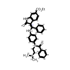 CCOC(=O)c1ccc2c(c1)NC(=O)/C2=C(\Nc1ccc(N(CCN(C)C)C(=O)c2ccccc2)cc1)c1ccccc1